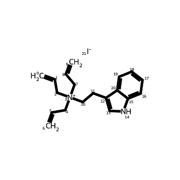 C=CC[N+](CC=C)(CC=C)CCc1c[nH]c2ccccc12.[I-]